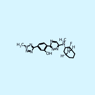 CN(c1cnc(-c2ccc(-c3nnn(C)n3)cc2O)nn1)[C@H]1C[C@@H]2CCC[C@@H](N2)[C@H]1F